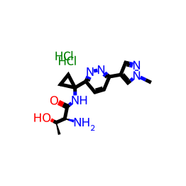 C[C@@H](O)[C@H](N)C(=O)NC1(c2ccc(-c3cnn(C)c3)nn2)CC1.Cl.Cl